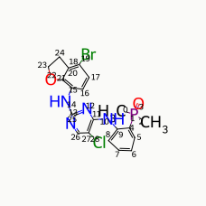 CP(C)(=O)c1ccccc1Nc1nc(Nc2ccc(Br)c3c2OCC3)ncc1Cl